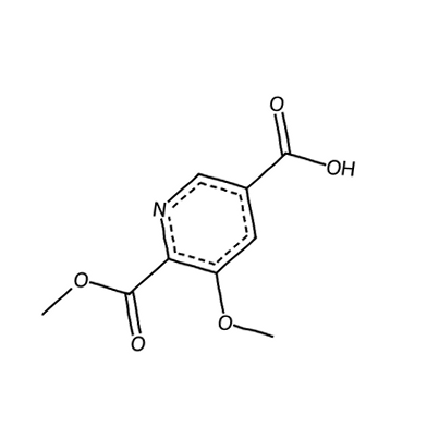 COC(=O)c1ncc(C(=O)O)cc1OC